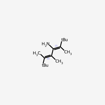 C/C(=C(N)\C(C)=C(/C)C(C)(C)C)C(C)(C)C